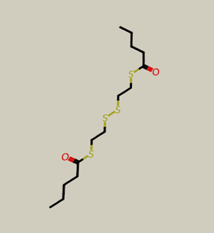 CCCCC(=O)SCCSSCCSC(=O)CCCC